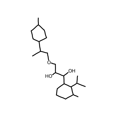 CC1CCC(C(C)COCC(O)C(O)C2CCCC(C)C2C(C)C)CC1